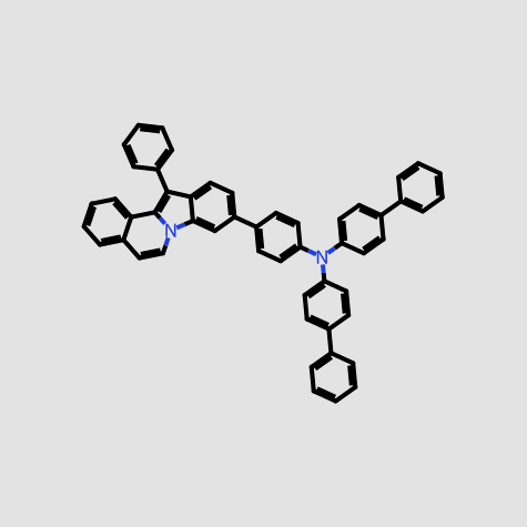 c1ccc(-c2ccc(N(c3ccc(-c4ccccc4)cc3)c3ccc(-c4ccc5c(-c6ccccc6)c6c7ccccc7ccn6c5c4)cc3)cc2)cc1